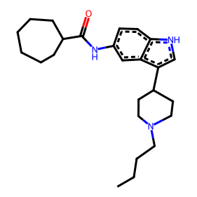 CCCCN1CCC(c2c[nH]c3ccc(NC(=O)C4CCCCCC4)cc23)CC1